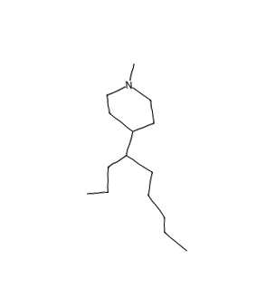 CCCCCC(CCC)C1CCN(C)CC1